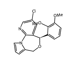 COc1cccc([C@H]2OCc3cccn3-c3ncc(Cl)cc32)c1OC